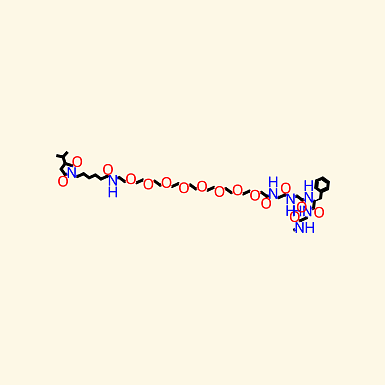 CNC(=O)CNC(=O)[C@H](Cc1ccccc1)NC(=O)CNC(=O)CNC(=O)COCCOCCOCCOCCOCCOCCOCCOCCNC(=O)CCCCCN1C(=O)CC(C(C)C)C1=O